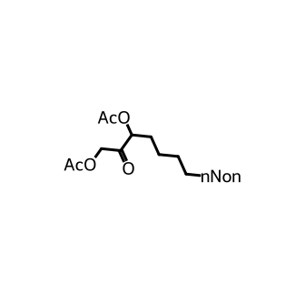 CCCCCCCCCCCCCC(OC(C)=O)C(=O)COC(C)=O